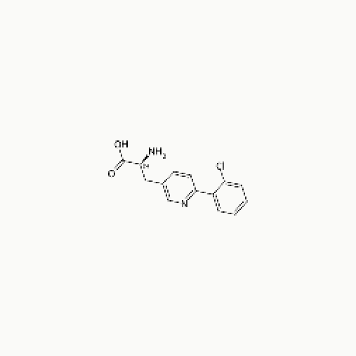 N[C@@H](Cc1ccc(-c2ccccc2Cl)nc1)C(=O)O